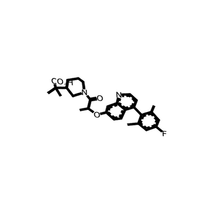 Cc1cc(F)cc(C)c1-c1ccnc2cc(OC(C)C(=O)N3CCCC(C(C)(C)C(=O)O)C3)ccc12